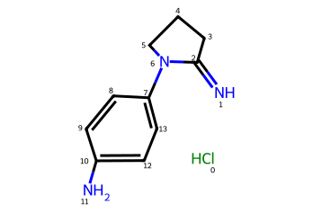 Cl.N=C1CCCN1c1ccc(N)cc1